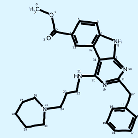 COC(=O)c1ccc2[nH]c3nc(Cc4ccccc4)nc(NCCCN4CCCCC4)c3c2c1